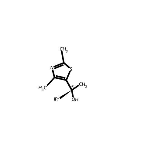 Cc1nc(C)c([C@](C)(O)C(C)C)s1